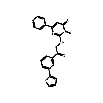 Cn1c(NCC(=O)c2cccc(-c3cccs3)c2)nc(-c2ccncc2)cc1=O